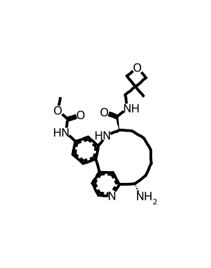 COC(=O)Nc1ccc2c(c1)N[C@@H](C(=O)NCC1(C)COC1)CCCCC[C@H](N)c1cc-2ccn1